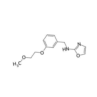 COCCOc1cccc(CNc2ncco2)c1